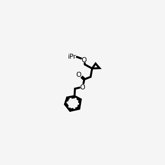 CC(C)OCC1(CC(=O)OCc2ccccc2)CC1